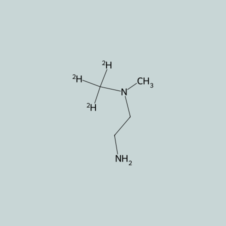 [2H]C([2H])([2H])N(C)CCN